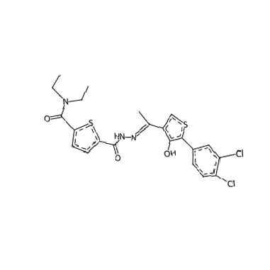 CCN(CC)C(=O)c1ccc(C(=O)NN=C(C)c2csc(-c3ccc(Cl)c(Cl)c3)c2O)s1